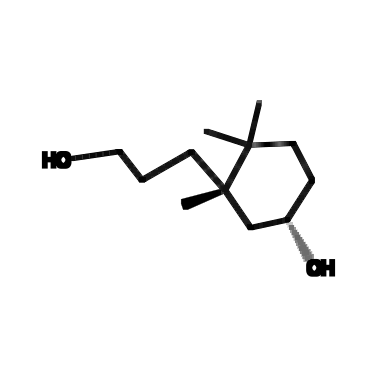 CC1(C)CC[C@H](O)C[C@]1(C)CCCO